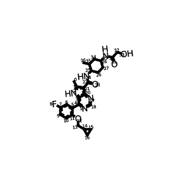 Cc1[nH]c2c(-c3cc(F)ccc3OCC3CC3)ncnc2c1C(=O)NC1CCC(NC(=O)CO)CC1C